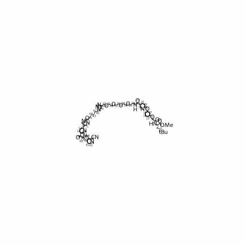 COC(=O)[C@H](CCC(C)(C)C)NC(=O)COc1cccc(Oc2ccc(C(=O)NCCOCCOCCOCCOCc3cn(CCCCCOc4ncc(-c5ccc6c(n5)N(Cc5cccnc5C#N)C(C)(C)C6=O)cn4)nn3)cn2)c1